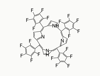 Fc1c(F)c(F)c(-c2c3nc(c(-c4c(F)c(F)c(F)c(F)c4F)c4ccc([nH]4)c(-c4c(F)c(F)c(F)c(F)c4F)c4nc(c(-c5c(F)c(F)c(F)c(F)c5F)c5ccc2[nH]5)C=C4)C=C3)c(F)c1F